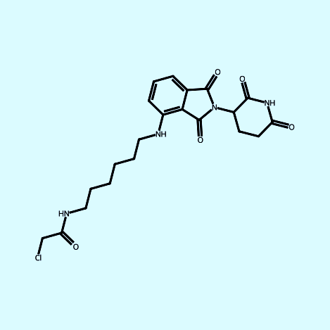 O=C(CCl)NCCCCCCNc1cccc2c1C(=O)N(C1CCC(=O)NC1=O)C2=O